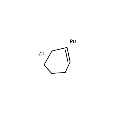 C1=CCCCC1.[Ru].[Zn]